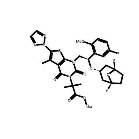 COc1ccc(F)cc1[C@H](Cn1c(=O)n(C(C)(C)C(=O)OC(C)(C)C)c(=O)c2c(C)c(-n3nccn3)sc21)O[C@H]1C[C@H]2CC[C@@H](C1)O2